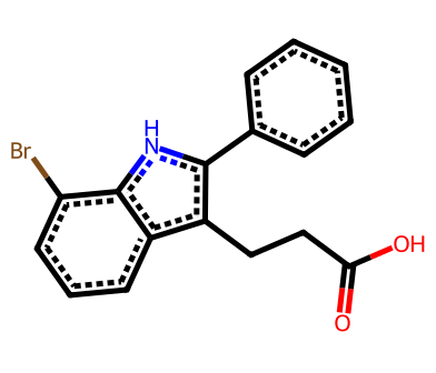 O=C(O)CCc1c(-c2ccccc2)[nH]c2c(Br)cccc12